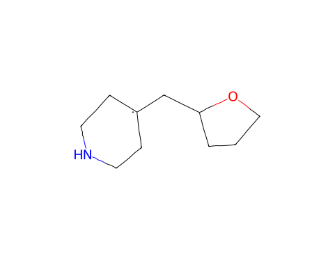 C1COC(C[C]2CCNCC2)C1